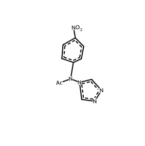 CC(=O)N(c1ccc([N+](=O)[O-])cc1)n1cnnc1